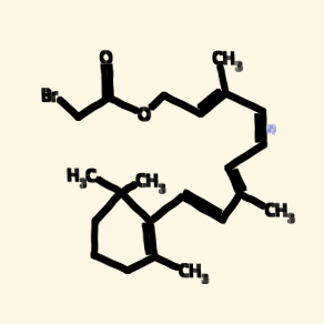 CC(C=CC1=C(C)CCCC1(C)C)=C/C=C\C(C)=CCOC(=O)CBr